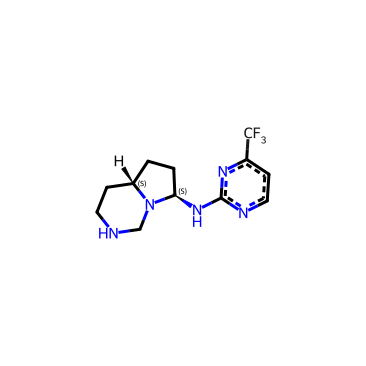 FC(F)(F)c1ccnc(N[C@@H]2CC[C@H]3CCNCN32)n1